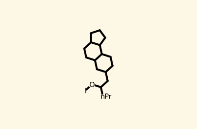 CCCC(CC1CCC2C(CCC3CCCC32)C1)OI